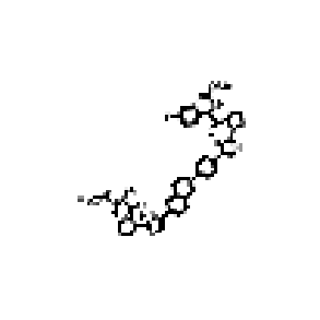 COC(=O)NC(C(=O)N1CCCC1c1ncc(-c2ccc(-c3ccc4cc(-c5cnc(C6CCCN6C(=O)C(NC(=O)OC)C(C)C)[nH]5)ccc4c3)cc2)[nH]1)c1ccc(F)cc1